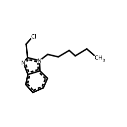 CCCCCCn1c(CCl)nc2ccccc21